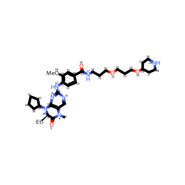 CC[C@@H]1C(=O)N(C)c2cnc(Nc3ccc(C(=O)NCCCOCCCOC4CCNCC4)cc3OC)nc2N1C1CCCC1